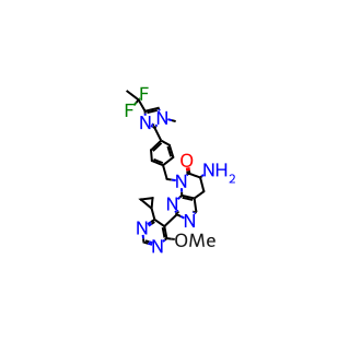 COc1ncnc(C2CC2)c1-c1ncc2c(n1)N(Cc1ccc(-c3nc(C(C)(F)F)cn3C)cc1)C(=O)C(N)C2